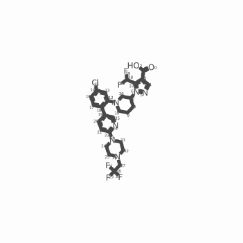 O=C(O)c1cnn(C2CCCN(c3cc(Cl)ccc3-c3ccc(N4CCN(CC(F)(F)F)CC4)nc3)C2)c1C(F)F